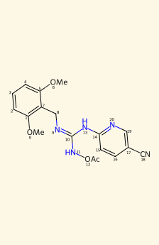 COc1cccc(OC)c1CN=C(NOC(C)=O)Nc1ccc(C#N)cn1